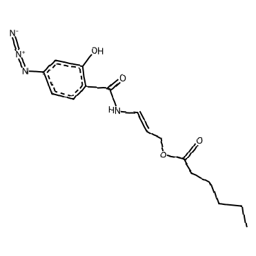 CCCCCC(=O)OCC=CNC(=O)c1ccc(N=[N+]=[N-])cc1O